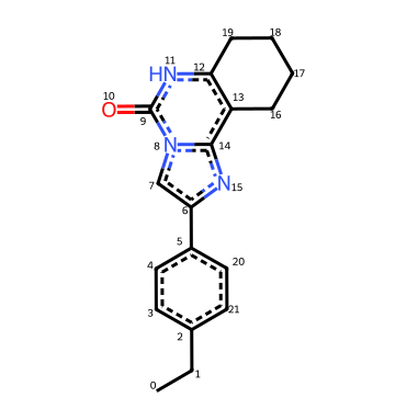 CCc1ccc(-c2cn3c(=O)[nH]c4c(c3n2)CCCC4)cc1